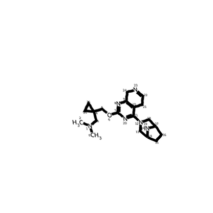 CN(C)CC1(COc2nc3c(c(N4CC5CCC(C4)N5)n2)CC=NC3)CC1